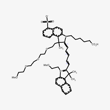 COCCOCCOCCOCCC1(C)\C(=C/C=C/C=C/C2=[N+](CCOC)c3ccc4ccccc4c3C2(C)C)N(CCCCCC(=O)O)c2ccc3c(S(=O)(=O)[O-])cccc3c21